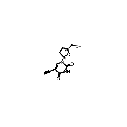 C#Cc1cn([C@H]2CC[C@@H](CO)O2)c(=O)[nH]c1=O